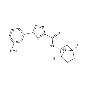 CNc1cccc(-c2ccc(C(=O)N[C@@H]3C[C@H]4CC[C@@H]3N4)o2)c1